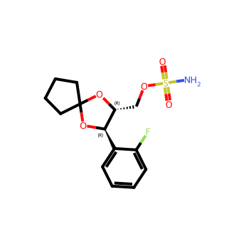 NS(=O)(=O)OC[C@H]1OC2(CCCC2)O[C@@H]1c1ccccc1F